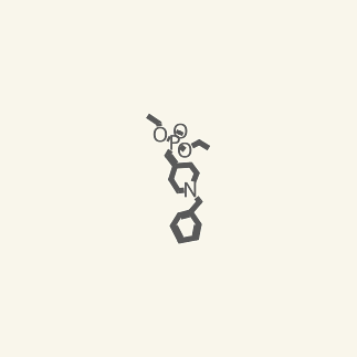 CCOP(=O)(C=C1CCN(Cc2ccccc2)CC1)OCC